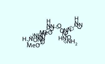 COC[C@@H](C)Oc1nc(C(=O)NC(C)C(C)(C)N)cc(N2CCC(c3c[nH]c4nc(C5CO[C@@H](COc6nc(C(=O)N[C@H]7CC[C@H]7N)cc(N7CCC(c8c[nH]c9ncccc89)CC7)n6)C5)cc(OC)c34)CC2)n1